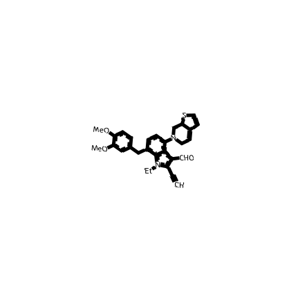 C#Cc1c(C=O)c2c(N3CC=C4C=CSC4C3)ccc(Cc3ccc(OC)c(OC)c3)c2n1CC